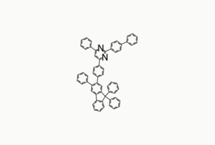 c1ccc(-c2ccc(-c3nc(-c4ccccc4)cc(-c4ccc(-c5cc6c(cc5-c5ccccc5)-c5ccccc5C6(c5ccccc5)c5ccccc5)cc4)n3)cc2)cc1